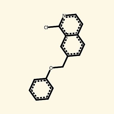 Clc1nccc2ccc(COc3ccccc3)cc12